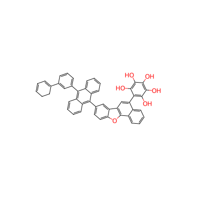 Oc1c(O)c(O)c(-c2cc3c4cc(-c5c6ccccc6c(-c6cccc(C7=CC=CCC7)c6)c6ccccc56)ccc4oc3c3ccccc23)c(O)c1O